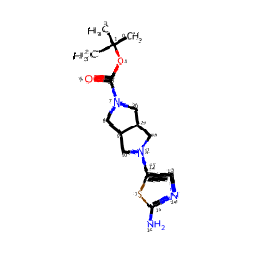 CC(C)(C)OC(=O)N1CC2CN(c3cnc(N)s3)CC2C1